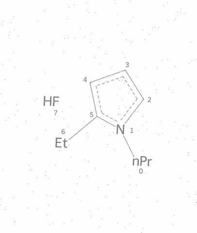 CCCn1cccc1CC.F